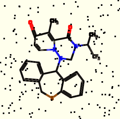 Cc1c2n(ccc1=O)N(C1c3ccccc3CSc3ccccc31)CN(C(C)C(F)(F)F)C2=O